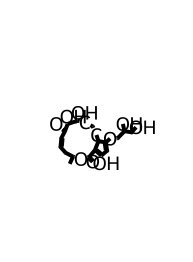 CC1C/C=C\C(=O)C(O)C(O)CCCC2C(OCC(O)CO)=CC(O)=C2C(=O)O1